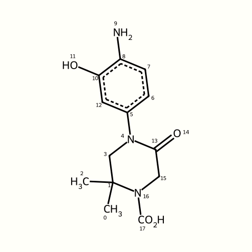 CC1(C)CN(c2ccc(N)c(O)c2)C(=O)CN1C(=O)O